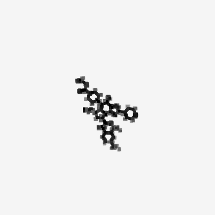 Cc1cc(C(F)(F)F)ccc1NC(=O)[C@H]1C[C@H](C)c2c(N3CCN(C(=O)OC(C)(C)C)CC3)c(=O)n3nc(C4=CCOCC4)nc3n21